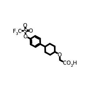 O=C(O)COC1CCC(c2ccc(OS(=O)(=O)C(F)(F)F)cc2)CC1